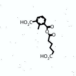 Cc1c(C(=O)O)cccc1C(=O)OC(=O)CCCCC(=O)O